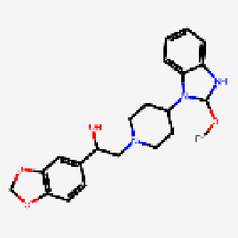 CCOC1Nc2ccccc2N1C1CCN(CC(O)c2ccc3c(c2)OCO3)CC1